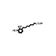 CCCCCCCCCCCCCCCCc1cccc(O)c1N